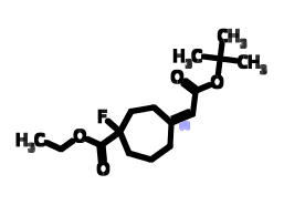 CCOC(=O)C1(F)CCC/C(=C/C(=O)OC(C)(C)C)CC1